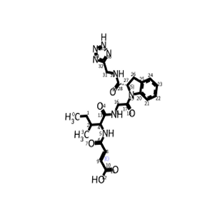 CCC(C)C(NC(=O)/C=C/C(=O)O)C(=O)NCC(=O)N1c2ccccc2C[C@H]1C(=O)NCc1nn[nH]n1